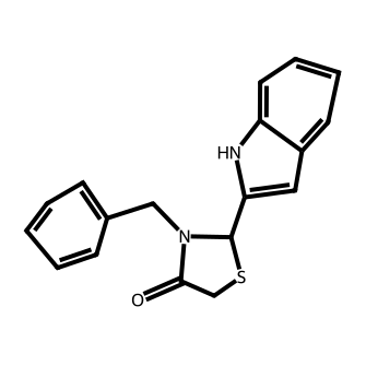 O=C1CSC(c2cc3ccccc3[nH]2)N1Cc1ccccc1